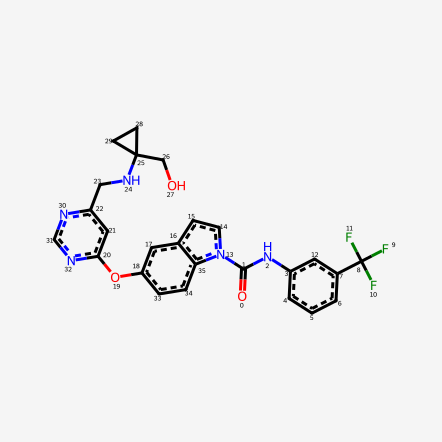 O=C(Nc1cccc(C(F)(F)F)c1)n1ccc2cc(Oc3cc(CNC4(CO)CC4)ncn3)ccc21